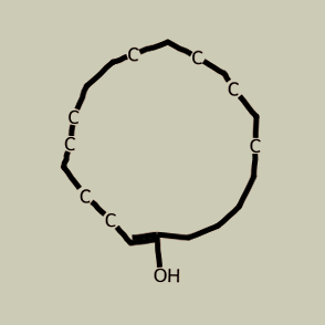 OC1=CCCCCCCCCCCCCCCCCCC1